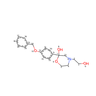 OCCN1CCOC(O)(c2ccc(OCc3ccccc3)cc2)C1